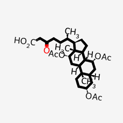 CC(=O)O[C@@H]1CC[C@@]2(C)[C@@H](C1)C[C@@H](OC(C)=O)[C@@H]1[C@@H]2C[C@H](OC(C)=O)[C@]2(C)[C@@H]([C@H](C)CCC(=O)CC(=O)O)CC[C@@H]12